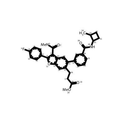 CNC(=O)c1c(-c2ccc(F)cc2)oc2cc(CCC(=O)OC)c(-c3cccc(C(=O)NC4CCC4C)c3)cc12